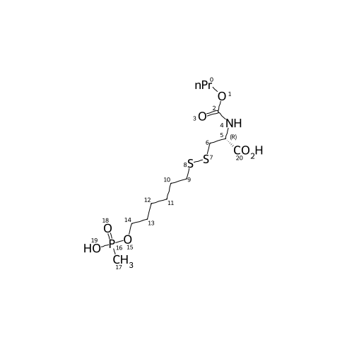 CCCOC(=O)N[C@@H](CSSCCCCCCOP(C)(=O)O)C(=O)O